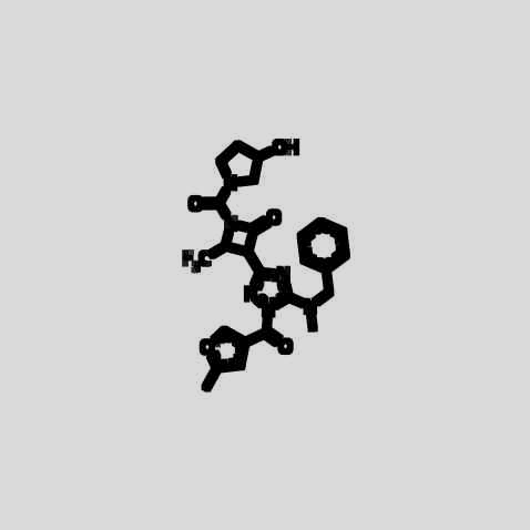 Cc1cc(C(=O)n2nc(C3C(=O)N(C(=O)N4CCC(O)C4)C3C(F)(F)F)nc2N(C)Cc2ccccc2)co1